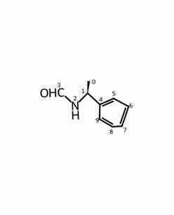 C[C@H](NC=O)c1ccccc1